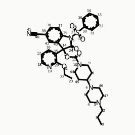 CCCN1CCN(C2CCN(C(=O)OC3(c4cccnc4OCC)C(=O)N(S(=O)(=O)c4ccccc4)c4ccc(C#N)cc43)CC2)CC1